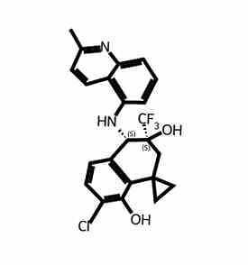 Cc1ccc2c(N[C@H]3c4ccc(Cl)c(O)c4C4(CC4)C[C@@]3(O)C(F)(F)F)cccc2n1